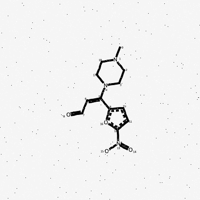 CN1CCN(/C(=C/C=O)c2ccc([N+](=O)[O-])o2)CC1